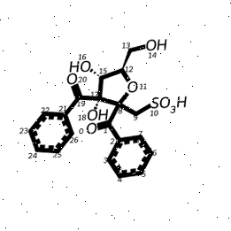 O=C(c1ccccc1)C1(CS(=O)(=O)O)O[C@H](CO)[C@@H](O)[C@]1(O)C(=O)c1ccccc1